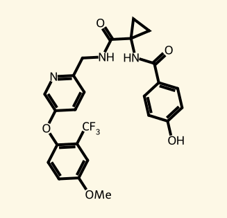 COc1ccc(Oc2ccc(CNC(=O)C3(NC(=O)c4ccc(O)cc4)CC3)nc2)c(C(F)(F)F)c1